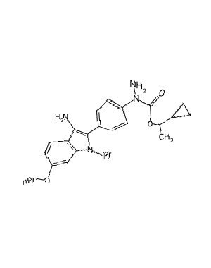 CCCOc1ccc2c(N)c(-c3ccc(N(N)C(=O)OC(C)C4CC4)cc3)n(C(C)C)c2c1